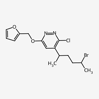 CC(Br)CCC(C)c1cc(OCc2ccco2)nnc1Cl